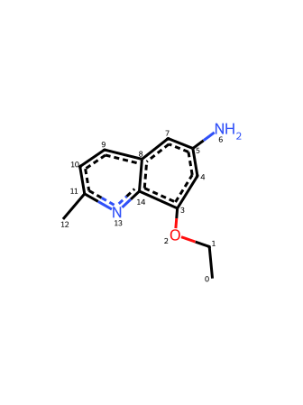 CCOc1cc(N)cc2ccc(C)nc12